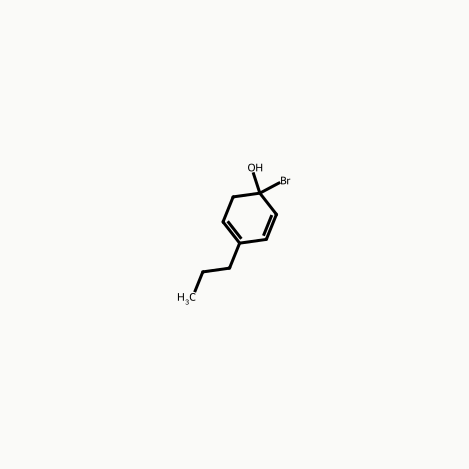 CCCC1=CCC(O)(Br)C=C1